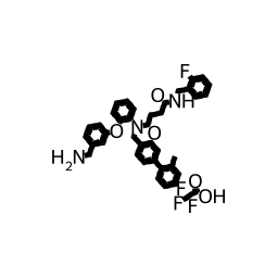 Cc1ccccc1-c1ccc(CN(C(=O)CCC(=O)NCc2ccccc2F)c2ccccc2Oc2cccc(CN)c2)cc1.O=C(O)C(F)(F)F